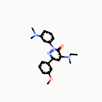 CCN(C)c1cc(-c2cccc(OC)c2)nn(-c2cccc(N(C)C)c2)c1=O